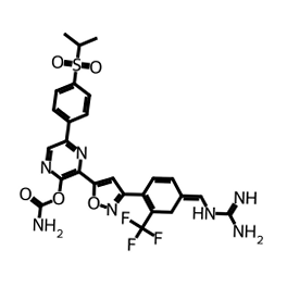 CC(C)S(=O)(=O)c1ccc(-c2cnc(OC(N)=O)c(-c3cc(C4=C(C(F)(F)F)CC(=CNC(=N)N)C=C4)no3)n2)cc1